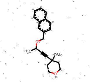 COC1(C#CC(C)OCc2ccc3ccccc3c2)CCOCC1